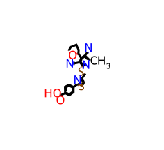 Cc1nc(SCc2csc(-c3ccc(C(=O)O)cc3)n2)c(C#N)c(C2CCCCO2)c1C#N